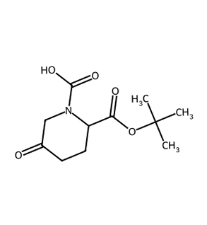 CC(C)(C)OC(=O)C1CCC(=O)CN1C(=O)O